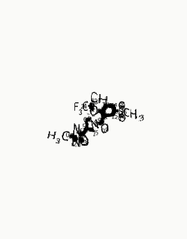 Cc1noc(C2CCN(C(=O)c3cc(S(C)(=O)=O)ccc3O[C@H](C)C(F)(F)F)C2)n1